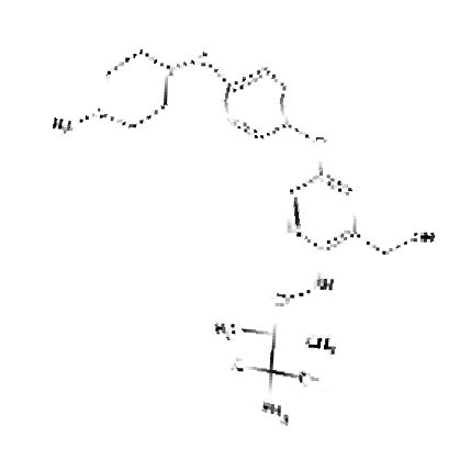 CN1CCN(Sc2ccc(Oc3ccc(BOC(C)(C)C(C)(C)P)c(CO)c3)cc2)CC1